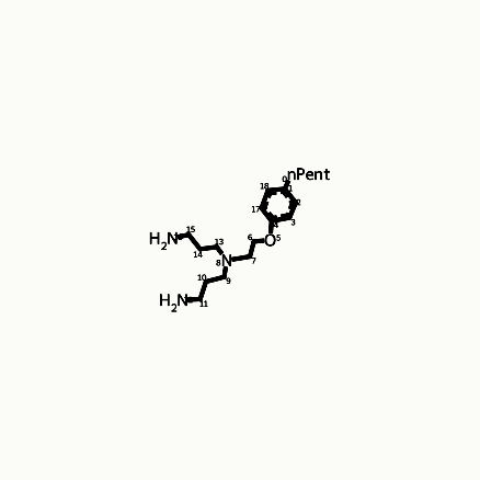 CCCCCc1ccc(OCCN(CCCN)CCCN)cc1